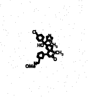 CON=Cc1cccc(-c2cc(=O)n(C)c3ccc(C(O)(c4ccc(Cl)cc4)c4cncn4C)cc23)c1